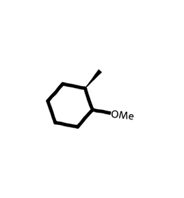 COC1CCCC[C@H]1C